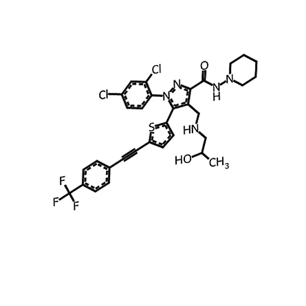 CC(O)CNCc1c(C(=O)NN2CCCCC2)nn(-c2ccc(Cl)cc2Cl)c1-c1ccc(C#Cc2ccc(C(F)(F)F)cc2)s1